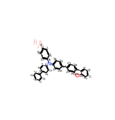 Bc1ccc(N(c2ccc(-c3ccccc3)cc2)c2ccc(-c3ccc4c(c3)oc3ccccc34)cc2)cc1